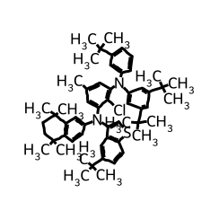 Cc1cc(N(c2cccc(C(C)(C)C)c2)c2cc(C(C)(C)C)cc(C(C)(C)C)c2)c(Cl)c(N(c2ccc3c(c2)C(C)(C)CCC3(C)C)c2csc3ccc(C(C)(C)C)cc23)c1